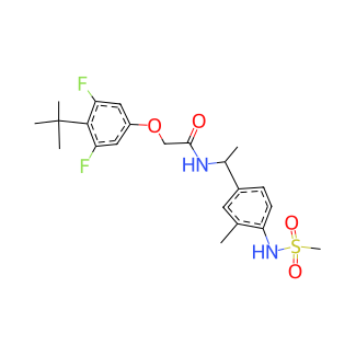 Cc1cc(C(C)NC(=O)COc2cc(F)c(C(C)(C)C)c(F)c2)ccc1NS(C)(=O)=O